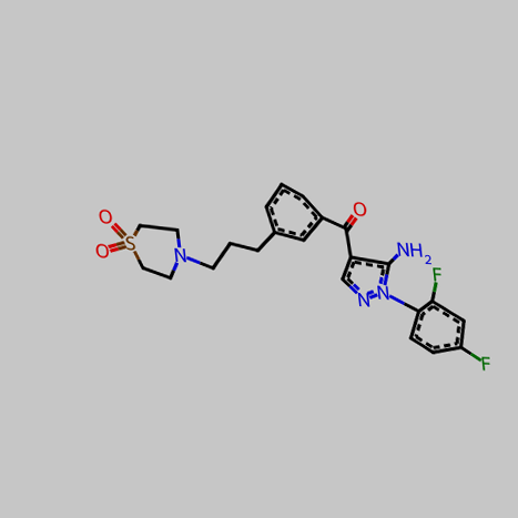 Nc1c(C(=O)c2cccc(CCCN3CCS(=O)(=O)CC3)c2)cnn1-c1ccc(F)cc1F